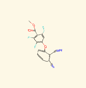 COC(=O)c1c(F)cc(Oc2cccc(C#N)c2C#N)c(F)c1F